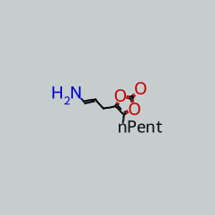 CCCCCc1oc(=O)oc1CC=CN